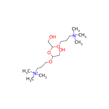 C[N+](C)(C)CCCOC(CO)OC(CO)OCCC[N+](C)(C)C